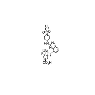 CC(C)(C)C1C(c2cccc3cnc(NC4CCN(S(C)(=O)=O)CC4)nc23)CC12CN(C(=O)O)CC2(F)F